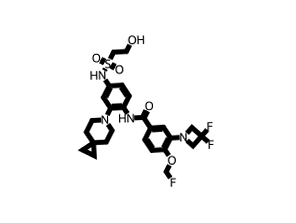 O=C(Nc1ccc(NS(=O)(=O)CCO)cc1N1CCC2(CC1)CC2)c1ccc(OCF)c(N2CC(F)(F)C2)c1